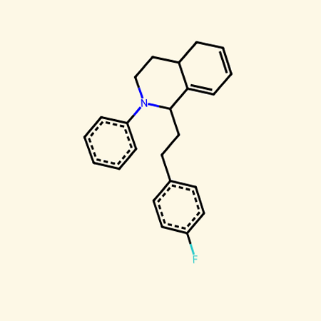 Fc1ccc(CCC2C3=CC=CCC3CCN2c2ccccc2)cc1